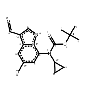 CC(C)(C)OC(=O)N(c1cc(Cl)cc2c(C=O)cnn12)C1CC1